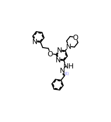 C(=N\Nc1cc(N2CCOCC2)nc(OCCc2ccccn2)n1)/c1ccccc1